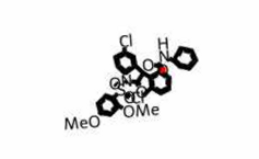 COc1ccc(S(=O)(=O)N2C(=O)C(OC(=O)Nc3ccccc3)(c3ccccc3Cl)c3cc(Cl)ccc32)c(OC)c1